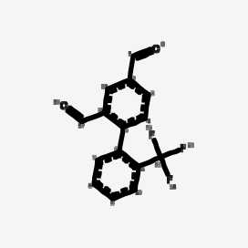 O=Cc1ccc(-c2ccccc2C(F)(F)F)c(C=O)c1